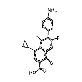 Cc1c(-c2ccc(N)cc2)c(F)cn2c(=O)c(C(=O)O)cc(C3CC3)c12